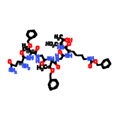 C[C@@H](O)[C@H](NC(=O)[C@H](CCCCNC(=O)OCc1ccccc1)NC(=O)CNC(=O)[C@@H](NC(=O)CNC(=O)[C@@H](NC(=O)[C@@H](N)CCC(N)=O)[C@@H](C)OCc1ccccc1)[C@@H](C)OCc1ccccc1)C(=O)O